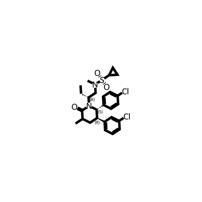 CC[C@H](CN(C)S(=O)(=O)C1CC1)N1C(=O)C(C)C[C@H](c2cccc(Cl)c2)[C@H]1c1ccc(Cl)cc1